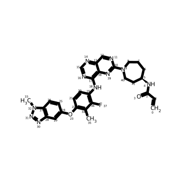 C=CC(=O)N[C@@H]1CCCN(c2ncc3ncnc(Nc4ccc(Oc5ccc6c(c5)nnn6C)c(C)c4F)c3n2)CC1